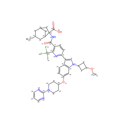 COC1CC(n2cc(-c3ccc(C(=O)NC4(C(=O)O)CC5CC(C)CC4C5)c(C(F)(F)F)n3)c3ccc(OC4CCN(c5ncccn5)CC4)cc32)C1